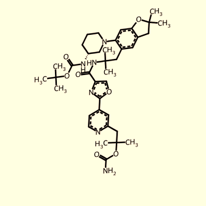 CC(C)(Cc1cc2c(cc1N1CCC[C@@H](NC(=O)OC(C)(C)C)C1)OC(C)(C)C2)NC(=O)c1coc(-c2ccnc(CC(C)(C)OC(N)=O)c2)n1